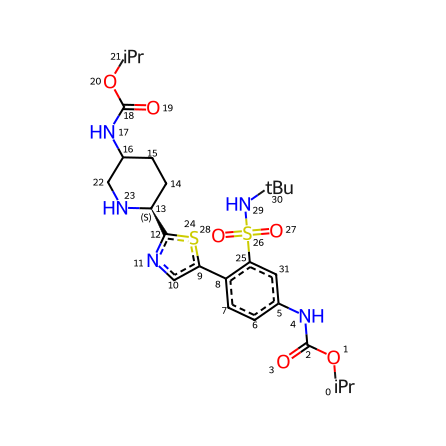 CC(C)OC(=O)Nc1ccc(-c2cnc([C@@H]3CCC(NC(=O)OC(C)C)CN3)s2)c(S(=O)(=O)NC(C)(C)C)c1